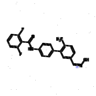 Cc1ccc(/C=N\O)cc1-c1ccc(NC(=O)c2c(F)cccc2F)cc1